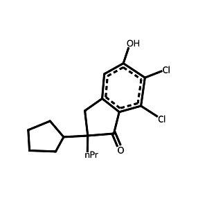 CCCC1(C2CCCC2)Cc2cc(O)c(Cl)c(Cl)c2C1=O